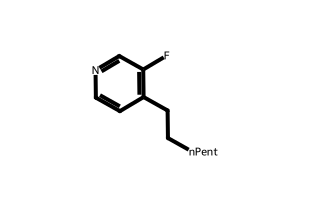 C[CH]CCCCCc1ccncc1F